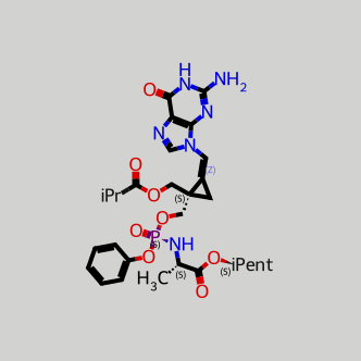 CCC[C@H](C)OC(=O)[C@H](C)N[P@](=O)(OC[C@@]1(COC(=O)C(C)C)C/C1=C/n1cnc2c(=O)[nH]c(N)nc21)Oc1ccccc1